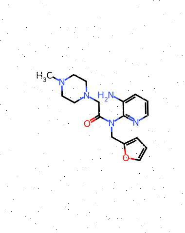 CN1CCN(CC(=O)N(Cc2ccco2)c2ncccc2N)CC1